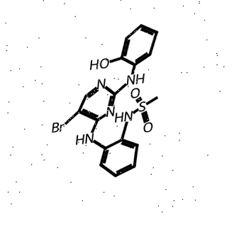 CS(=O)(=O)Nc1ccccc1Nc1nc(Nc2ccccc2O)ncc1Br